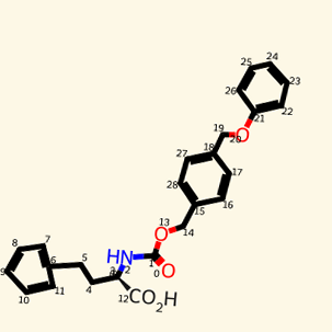 O=C(N[C@H](CCc1ccccc1)C(=O)O)OCc1ccc(COc2ccccc2)cc1